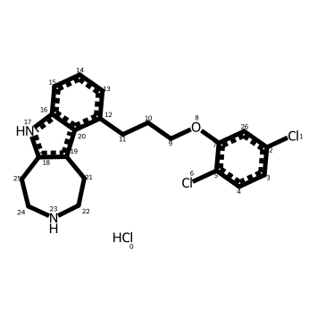 Cl.Clc1ccc(Cl)c(OCCCc2cccc3[nH]c4c(c23)CCNCC4)c1